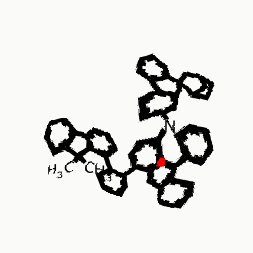 CC1(C)c2ccccc2-c2cccc(-c3ccccc3-c3ccc(N(c4ccc5c(c4)C4(CC6CCC4C6)c4ccccc4-5)c4ccccc4-c4cccc5ccccc45)cc3)c21